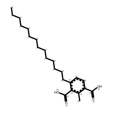 CCCCCCCCCCCCCCc1ccc(C(=O)O)c(C)c1C(=O)O